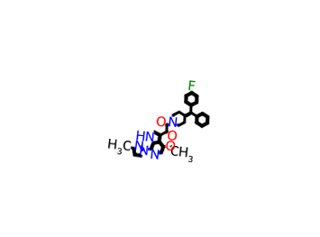 COc1cnc(-n2ccc(C)n2)c2[nH]cc(C(=O)C(=O)N3CCC(=C(c4ccccc4)c4ccc(F)cc4)CC3)c12